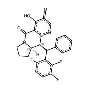 O=C1c2c(O)c(=O)cnn2[C@@H](C(c2ccccc2)c2c(F)ccc(F)c2F)[C@H]2CCCN12